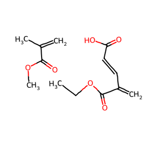 C=C(C)C(=O)OC.C=C(C=CC(=O)O)C(=O)OCC